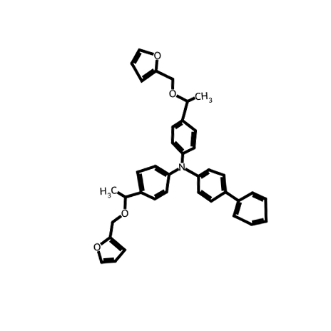 CC(OCc1ccco1)c1ccc(N(c2ccc(-c3ccccc3)cc2)c2ccc(C(C)OCc3ccco3)cc2)cc1